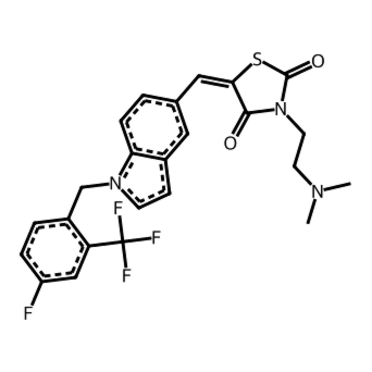 CN(C)CCN1C(=O)SC(=Cc2ccc3c(ccn3Cc3ccc(F)cc3C(F)(F)F)c2)C1=O